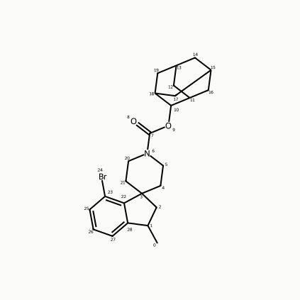 CC1CC2(CCN(C(=O)OC3C4CC5CC(C4)CC3C5)CC2)c2c(Br)cccc21